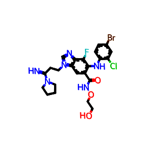 N=C(CCn1cnc2c(F)c(Nc3ccc(Br)cc3Cl)c(C(=O)NOCCO)cc21)N1CCCC1